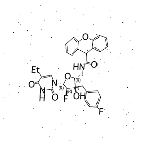 CCc1cn([C@@H]2O[C@H](CNC(=O)C3c4ccccc4Oc4ccccc43)[C@](O)(Cc3ccc(F)cc3)[C@H]2F)c(=O)[nH]c1=O